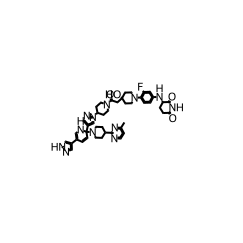 Cc1ccnc(C2CCN(C3(c4cnn(C5CCN(C(=O)CC6(O)CCN(c7ccc(NC8CCC(=O)NC8=O)cc7F)CC6)CC5)c4)C=CC(c4cn[nH]c4)=CN3)CC2)n1